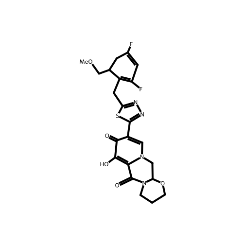 COCC1CC(F)=CC(F)=C1Cc1nnc(-c2cn3c(c(O)c2=O)C(=O)N2CCCOC2C3)s1